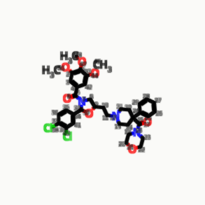 COc1cc(C(=O)N2CC(CCN3CCC(C(=O)N4CCOCC4)(c4ccccc4)CC3)OC2c2ccc(Cl)c(Cl)c2)cc(OC)c1OC